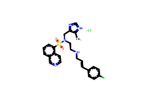 Cc1[nH]cnc1CN(CCNCC=Cc1ccc(Cl)cc1)S(=O)(=O)c1cccc2cnccc12.Cl